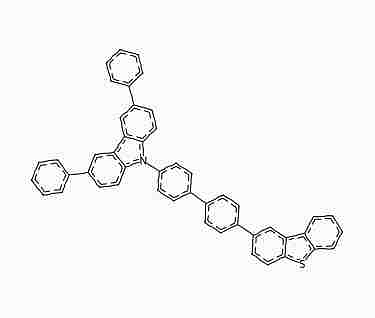 c1ccc(-c2ccc3c(c2)c2cc(-c4ccccc4)ccc2n3-c2ccc(-c3ccc(-c4ccc5sc6ccccc6c5c4)cc3)cc2)cc1